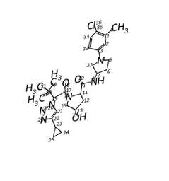 Cc1cc(N2CCC(NC(=O)C3CC(O)CN3C(=O)C(n3cc(C4CC4)nn3)C(C)(C)C)C2)ccc1Cl